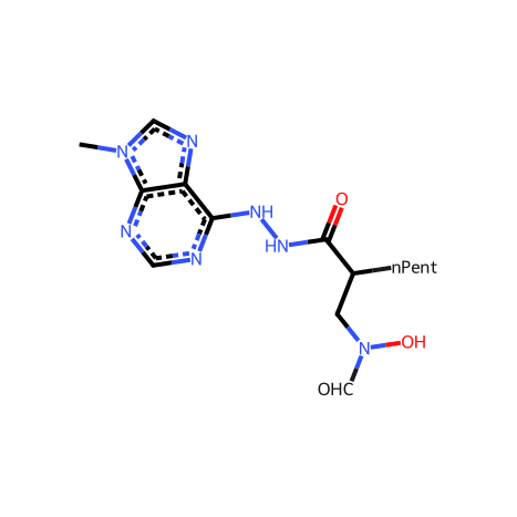 CCCCCC(CN(O)C=O)C(=O)NNc1ncnc2c1ncn2C